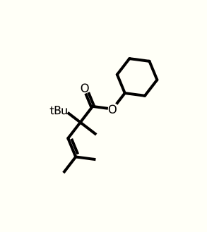 CC(C)=CC(C)(C(=O)OC1CCCCC1)C(C)(C)C